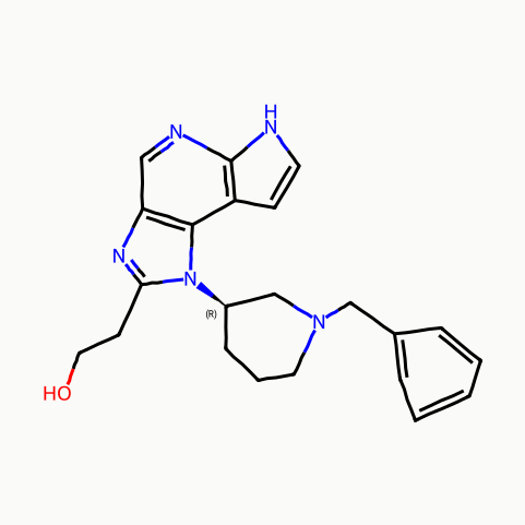 OCCc1nc2cnc3[nH]ccc3c2n1[C@@H]1CCCN(Cc2ccccc2)C1